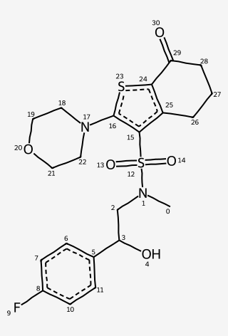 CN(CC(O)c1ccc(F)cc1)S(=O)(=O)c1c(N2CCOCC2)sc2c1CCCC2=O